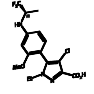 CCn1nc(C(=O)O)c(Cl)c1-c1ccc(N[C@H](C)C(F)(F)F)cc1OC